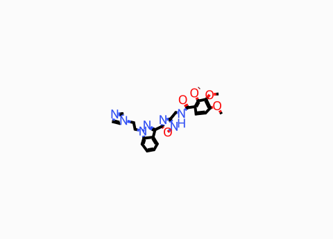 COc1ccc(C(=O)NCc2noc(-c3nn(CCn4ccnc4)c4ccccc34)n2)c(OC)c1OC